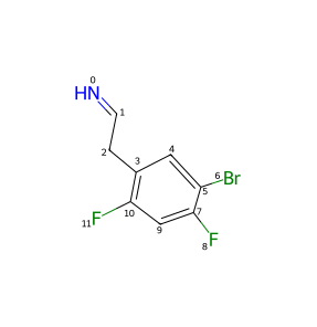 N=CCc1cc(Br)c(F)cc1F